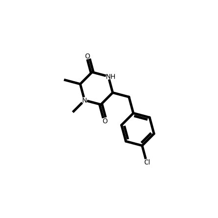 CC1C(=O)NC(Cc2ccc(Cl)cc2)C(=O)N1C